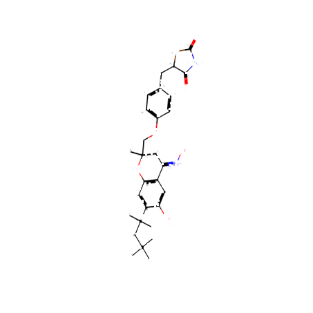 CC(C)(C)CC(C)(C)c1cc2c(cc1O)/C(=N/O)CC(C)(COc1ccc(CC3SC(=O)NC3=O)cc1)O2